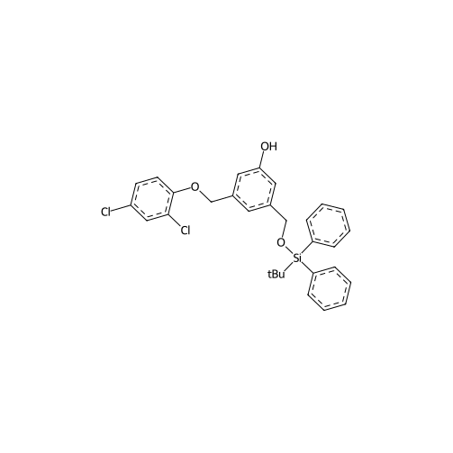 CC(C)(C)[Si](OCc1cc(O)cc(COc2ccc(Cl)cc2Cl)c1)(c1ccccc1)c1ccccc1